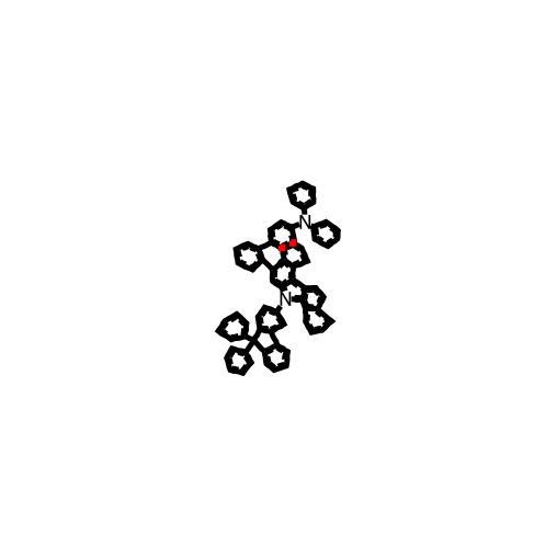 c1ccc(N(c2ccccc2)c2ccc(-c3ccccc3-c3cc4c(c5ccccc35)c3ccc5ccccc5c3n4-c3ccc4c(c3)-c3ccccc3C4(c3ccccc3)c3ccccc3)cc2)cc1